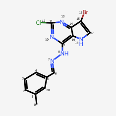 Cc1cccc(/C=N/Nc2nc(Cl)nc3c(Br)c[nH]c23)c1